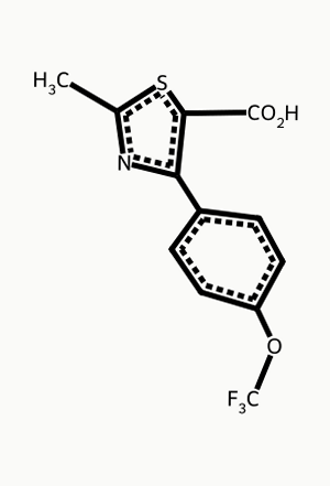 Cc1nc(-c2ccc(OC(F)(F)F)cc2)c(C(=O)O)s1